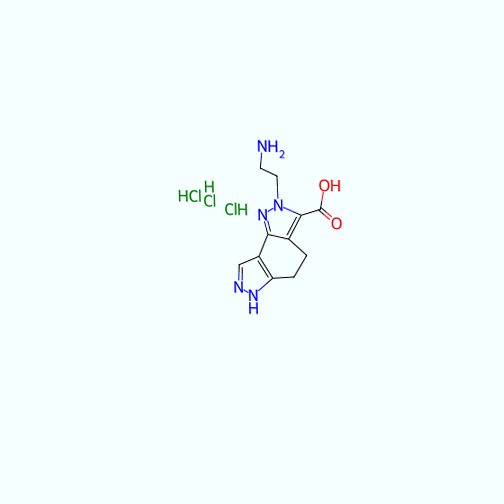 Cl.Cl.Cl.NCCn1nc2c(c1C(=O)O)CCc1[nH]ncc1-2